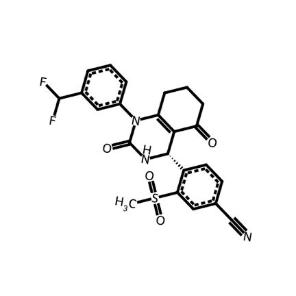 CS(=O)(=O)c1cc(C#N)ccc1[C@@H]1NC(=O)N(c2cccc(C(F)F)c2)C2=C1C(=O)CCC2